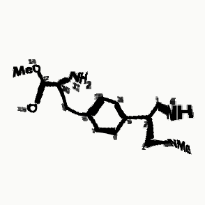 CN/C=C(\C=N)c1ccc(C[C@H](N)C(=O)OC)cc1